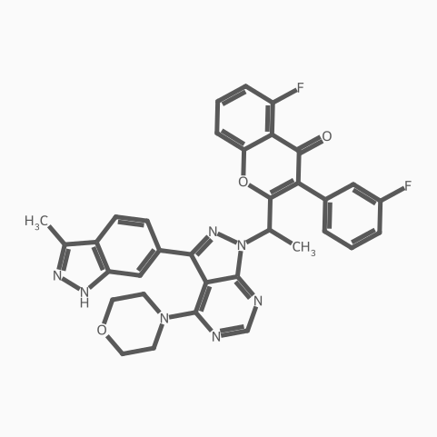 Cc1n[nH]c2cc(-c3nn(C(C)c4oc5cccc(F)c5c(=O)c4-c4cccc(F)c4)c4ncnc(N5CCOCC5)c34)ccc12